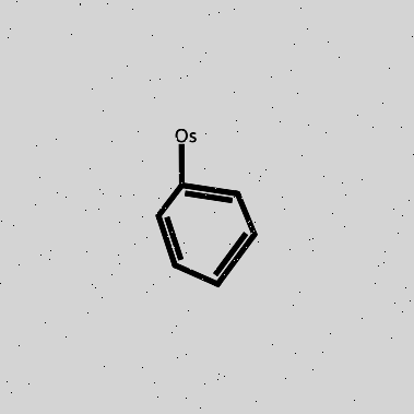 [Os][c]1ccccc1